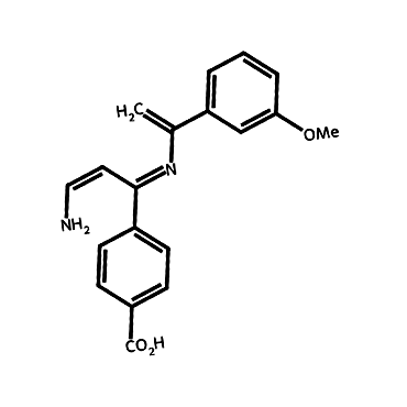 C=C(/N=C(\C=C/N)c1ccc(C(=O)O)cc1)c1cccc(OC)c1